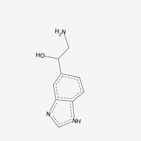 NCC(O)c1ccc2[nH]cnc2c1